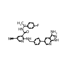 C[C@H](NC(=O)c1cc(C#N)cnc1NCc1ccc(-c2cnc3[nH]nc(N)c3c2)cc1)c1ccc(F)cc1